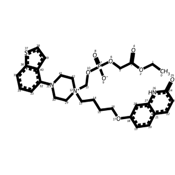 CCOC(=O)COP(=O)([O-])OC[N+]1(CCCCOc2ccc3ccc(=O)[nH]c3c2)CCN(c2cccc3sccc23)CC1